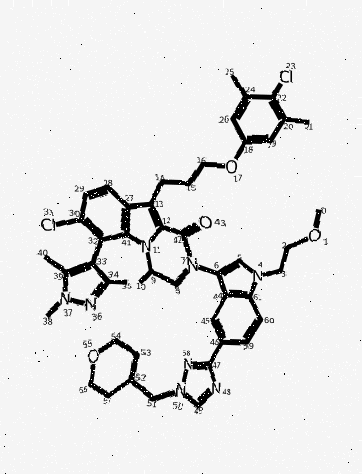 COCCn1cc(N2CC(C)n3c(c(CCCOc4cc(C)c(Cl)c(C)c4)c4ccc(Cl)c(-c5c(C)nn(C)c5C)c43)C2=O)c2cc(-c3ncn(CC4CCOCC4)n3)ccc21